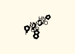 O=C(NC1CCCC1)N1CCN(c2cnn(-c3cccc(F)c3)c(=O)c2OC2Cc3ccccc3C2)CC1